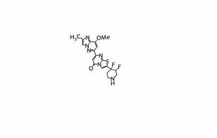 COc1cc(-c2cc(=O)n3cc(C4(F)CCNCC4F)sc3n2)nn2cc(C)nc12